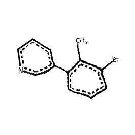 Cc1c(Br)cccc1-c1cccnc1